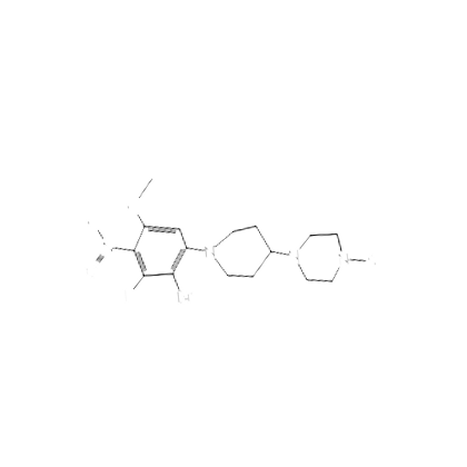 COc1cc(N2CCC(N3CCN(S)CC3)CC2)c(Br)c(F)c1[N+](=O)[O-]